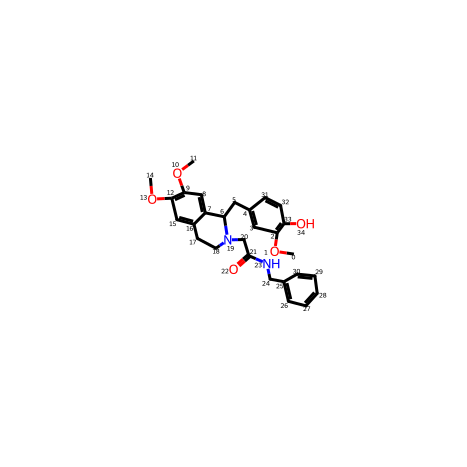 COc1cc(CC2c3cc(OC)c(OC)cc3CCN2CC(=O)NCc2ccccc2)ccc1O